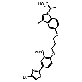 CCc1csc(-c2ccc(OCCCOc3ccc4c(c3)c(C)cn4C(C)C(=O)O)c(OC)c2)n1